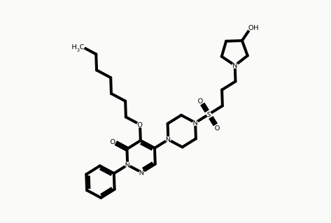 CCCCCCCOc1c(N2CCN(S(=O)(=O)CCCN3CCC(O)C3)CC2)cnn(-c2ccccc2)c1=O